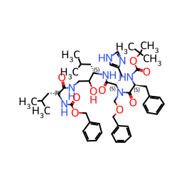 CC(C)C[C@H](NC(=O)[C@H](Cc1c[nH]cn1)N(COCc1ccccc1)C(=O)[C@H](Cc1ccccc1)NC(=O)OC(C)(C)C)C(O)CNC(=O)[C@@H](CC(C)C)NC(=O)OCc1ccccc1